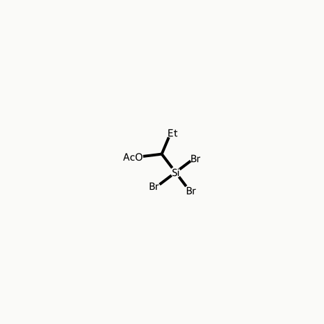 CCC(OC(C)=O)[Si](Br)(Br)Br